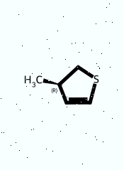 C[C@@H]1C=CSC1